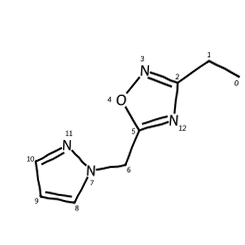 CCc1noc(Cn2cccn2)n1